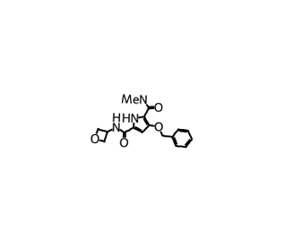 CNC(=O)c1[nH]c(C(=O)NC2COC2)cc1OCc1ccccc1